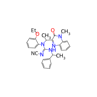 CCOc1ccccc1N(C(=NC#N)NC(C)c1ccccc1)C(C)c1nc2ccccc2n(C)c1=O